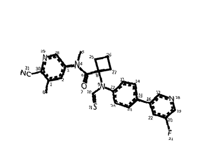 Cc1cc(N(C)C(=O)C2(N(C=S)c3ccc(-c4cncc(F)c4)cc3)CCC2)cnc1C#N